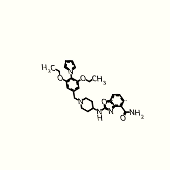 CCOc1cc(CN2CCC(Nc3nc4c(C(N)=O)[c]ccc4o3)CC2)cc(OCC)c1-n1cccc1